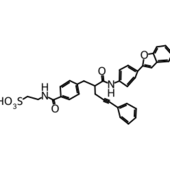 O=C(NCCS(=O)(=O)O)c1ccc(CC(CC#Cc2ccccc2)C(=O)Nc2ccc(-c3cc4ccccc4o3)cc2)cc1